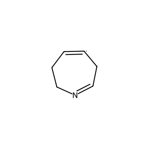 [C]1=CCCN=CC1